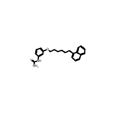 NC(=S)Nc1cccc(OCCCCCCc2cccc3ccccc23)c1